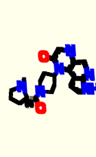 CN1CCC[C@H]1C(=O)N1CCC(n2c(=O)cnc3cnc4[nH]ccc4c32)CC1